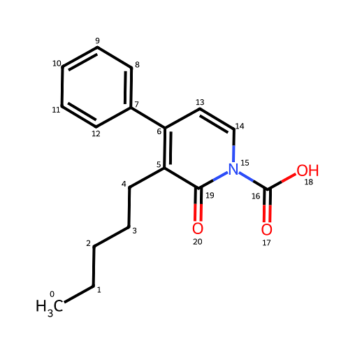 CCCCCc1c(-c2ccccc2)ccn(C(=O)O)c1=O